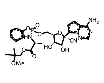 COC(C)(C)COC(=O)[C@H](C)N[P@](=O)(OC[C@H]1O[C@@](C#N)(c2ccc3c(N)ncnn23)[C@H](O)[C@@H]1O)Oc1ccccc1